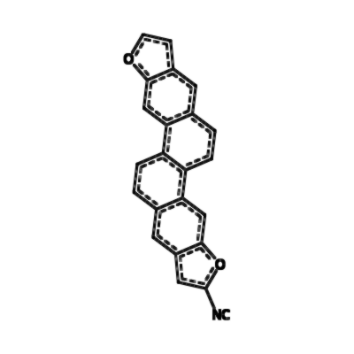 [C-]#[N+]c1cc2cc3ccc4c5cc6occc6cc5ccc4c3cc2o1